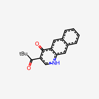 CC(C)(C)C(=O)c1c[nH]c2cc3ccccc3cc2c1=O